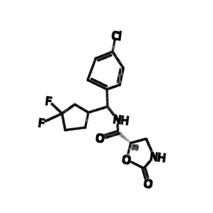 O=C1NC[C@@H](C(=O)NC(c2ccc(Cl)cc2)C2CCC(F)(F)C2)O1